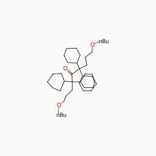 CCCCOCCCC(C(=O)C(CCCOCCCC)(C1CCCCC1)C1CCCCC1)(C1CCCCC1)C1CCCCC1